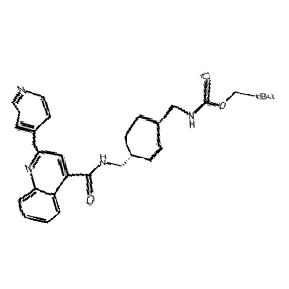 CC(C)(C)COC(=O)NC[C@H]1CC[C@H](CNC(=O)c2cc(-c3ccncc3)nc3ccccc23)CC1